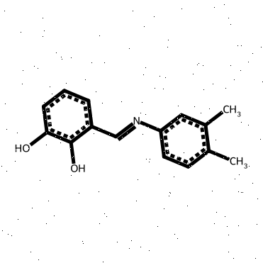 Cc1ccc(/N=C/c2cccc(O)c2O)cc1C